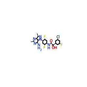 Cc1nc(N)c2c(n1)c(C)nn2-c1cc(F)c(NC(=O)[C@H](O)c2cc(F)cc(Cl)c2)cc1F